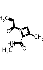 C=CC(=O)N1C[C@@H](C)[C@@H]1C(=O)NC